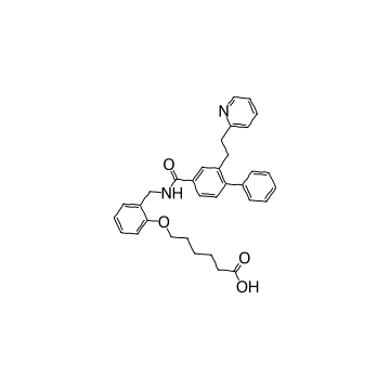 O=C(O)CCCCCOc1ccccc1CNC(=O)c1ccc(-c2ccccc2)c(CCc2ccccn2)c1